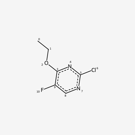 CCOc1nc(Cl)ncc1F